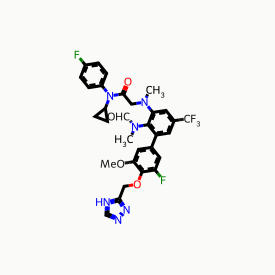 COc1cc(-c2cc(C(F)(F)F)cc(N(C)CC(=O)N(c3ccc(F)cc3)C3CC3)c2N(C)C=O)cc(F)c1OCc1nnc[nH]1